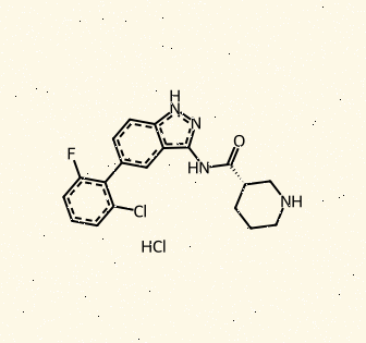 Cl.O=C(Nc1n[nH]c2ccc(-c3c(F)cccc3Cl)cc12)[C@H]1CCCNC1